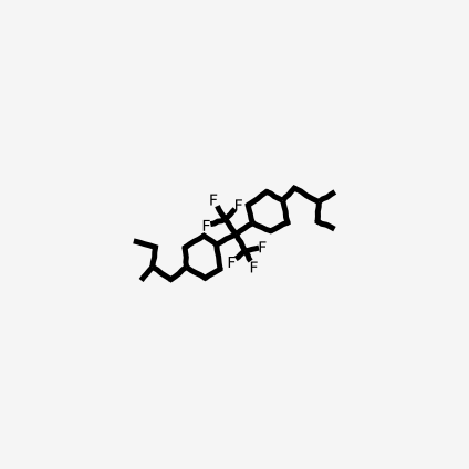 CCC(C)CC1CCC(C(C2CCC(CC(C)CC)CC2)(C(F)(F)F)C(F)(F)F)CC1